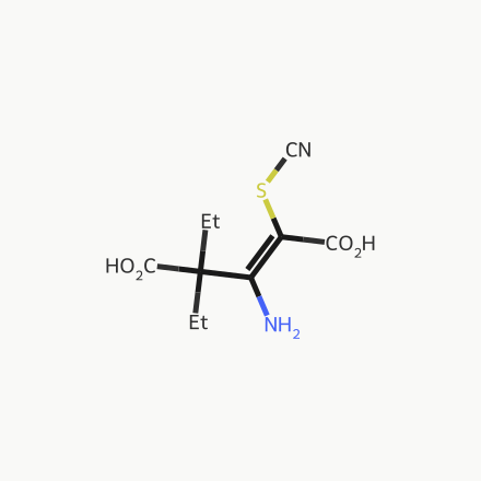 CCC(CC)(C(=O)O)/C(N)=C(\SC#N)C(=O)O